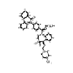 CN1CCN(CC=C2c3ccccc3N(C(=O)c3ccc(NC(=O)c4ccccc4-c4ccccc4)cc3)CCC2(F)F)CC1.Cl.Cl